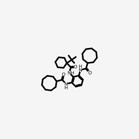 CC(C)(C)C1(C(=O)Nc2c(NC(=O)C3CCCCCCC3)cccc2NC(=O)C2CCCCCCC2)CCCCC1